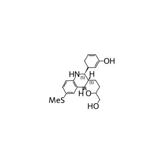 CSc1ccc2c(c1)[C@H]1OC(CO)CC[C@H]1[C@H](C1C=C(O)C=CC1)N2